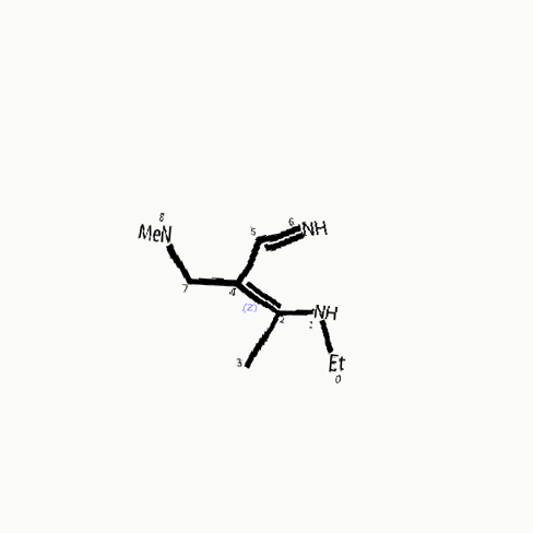 CCN/C(C)=C(\C=N)CNC